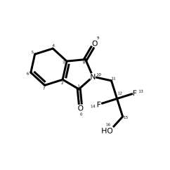 O=C1C2=C(CCC=C2)C(=O)N1CC(F)(F)CO